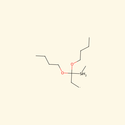 [CH2]CC(OCCCC)(OCCCC)[SiH2]C